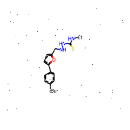 CCNC(=S)NNCc1ccc(-c2ccc(C(C)(C)C)cc2)o1